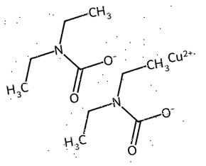 CCN(CC)C(=O)[O-].CCN(CC)C(=O)[O-].[Cu+2]